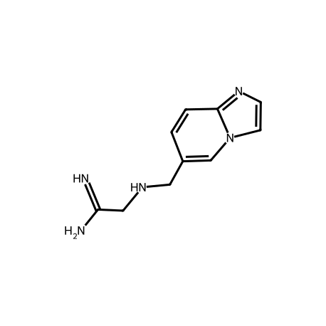 N=C(N)CNCc1ccc2nccn2c1